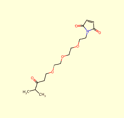 CC(C)C(=O)CCOCCOCCOCCN1C(=O)C=CC1=O